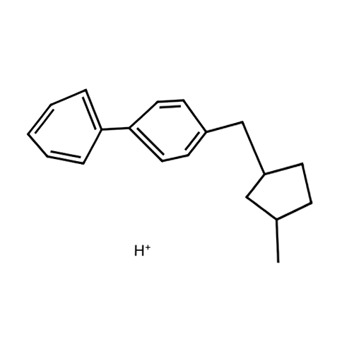 CC1CCC(Cc2ccc(-c3ccccc3)cc2)C1.[H+]